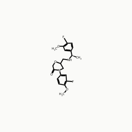 COc1ccc(N2CC(CN[C@H](C)c3ccc(F)c(OC)c3)OCC2=O)cc1F